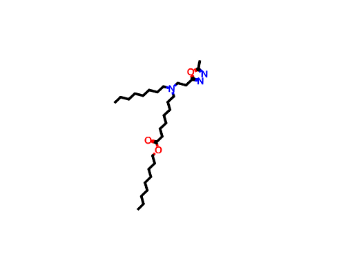 CCCCCCCCCOC(=O)CCCCCCCN(CCCCCCCC)CCc1nnc(C)o1